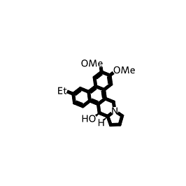 CCc1ccc2c3c(c4cc(OC)c(OC)cc4c2c1)CN1CCC[C@H]1[C@H]3O